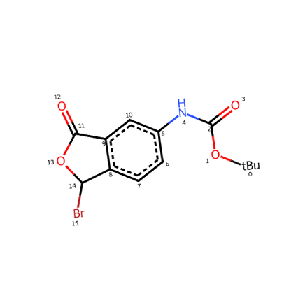 CC(C)(C)OC(=O)Nc1ccc2c(c1)C(=O)OC2Br